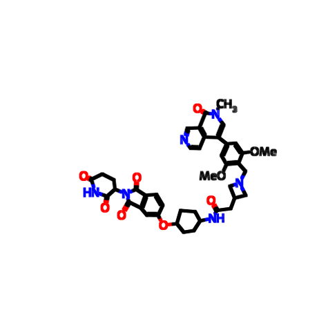 COc1cc(-c2cn(C)c(=O)c3cnccc23)cc(OC)c1CN1CC(CC(=O)NC2CCC(Oc3ccc4c(c3)C(=O)N(C3CCC(=O)NC3=O)C4=O)CC2)C1